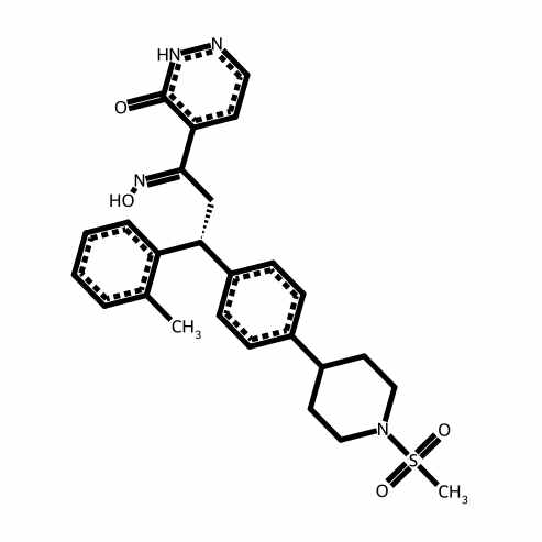 Cc1ccccc1[C@H](C/C(=N\O)c1ccn[nH]c1=O)c1ccc(C2CCN(S(C)(=O)=O)CC2)cc1